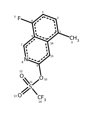 Cc1ccc(F)c2cnc(OS(=O)(=O)C(F)(F)F)cc12